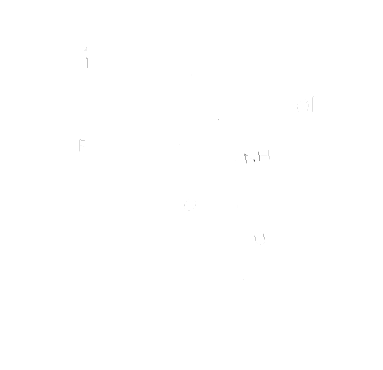 CC(C)(C)OC(=O)NC1(CO)CC(C(F)F)C1